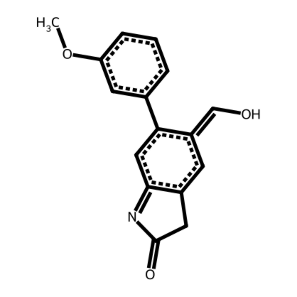 COc1cccc(-c2cc3c(cc2=CO)CC(=O)N=3)c1